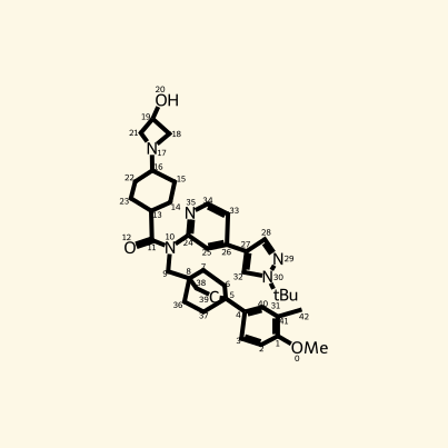 COc1ccc(C23CCC(CN(C(=O)C4CCC(N5CC(O)C5)CC4)c4cc(-c5cnn(C(C)(C)C)c5)ccn4)(CC2)CC3)cc1C